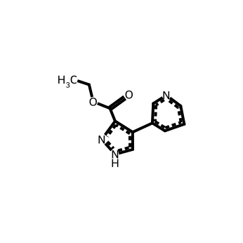 CCOC(=O)c1n[nH]cc1-c1cccnc1